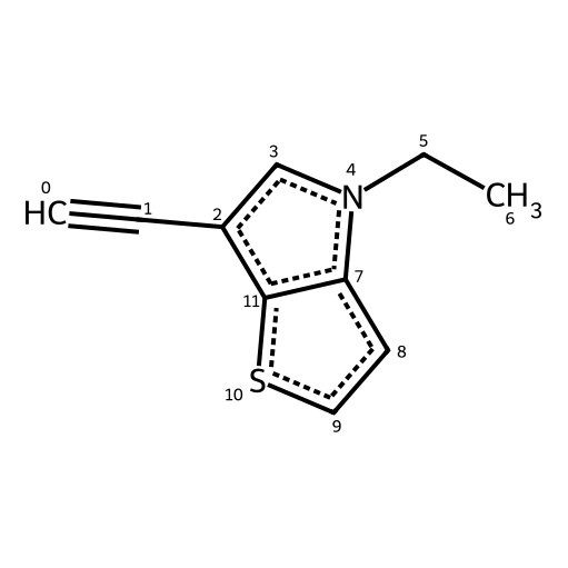 C#Cc1cn(CC)c2ccsc12